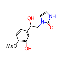 COc1ccc(C(O)Cn2cc[nH]c2=O)cc1O